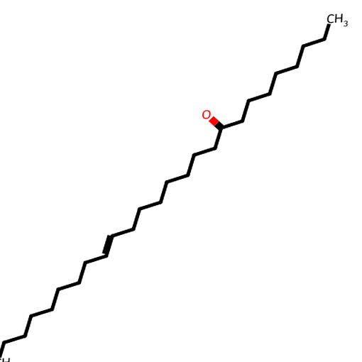 CCCCCCCCC=CCCCCCCCC(=O)CCCCCCCC